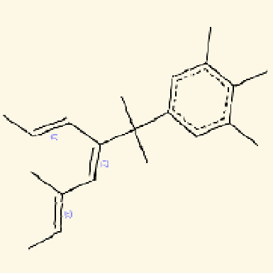 C/C=C/C(=C\C(C)=C\C)C(C)(C)c1cc(C)c(C)c(C)c1